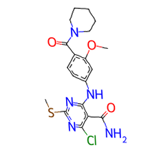 COc1cc(Nc2nc(SC)nc(Cl)c2C(N)=O)ccc1C(=O)N1CCCCC1